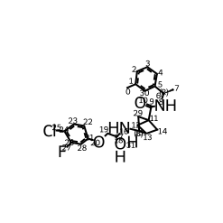 Cc1cccc([C@@H](C)NC(=O)C23CC(C2)[C@@H](NC(O)COc2ccc(Cl)c(F)c2)C3)c1